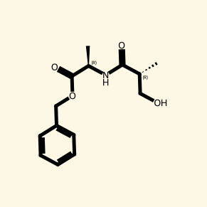 C[C@H](CO)C(=O)N[C@H](C)C(=O)OCc1ccccc1